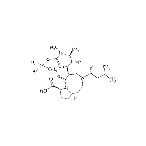 CC(C)CC(=O)N1CC[C@H]2CC[C@@H](C(=O)O)N2C(=O)[C@@H](NC(=O)[C@H](C)N(C)C(=O)OC(C)(C)C)C1